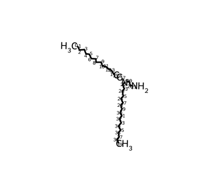 CCCCCCCCCCCCCCCCCCN(CCN)CCCCCCCCCCCCCCCCCC